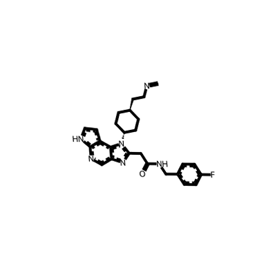 C=NCC[C@H]1CC[C@H](n2c(CC(=O)NCc3ccc(F)cc3)nc3cnc4[nH]ccc4c32)CC1